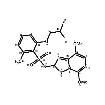 COC1=CN=C(OC)N2NC(NS(=O)(=O)c3c(OCC(F)F)cccc3C(F)(F)F)N=C12